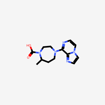 CC1CCN(c2nccn3ccnc23)CCN1C(=O)O